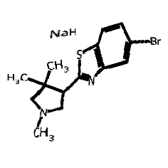 CN1CC(c2nc3cc(Br)ccc3s2)C(C)(C)C1.[NaH]